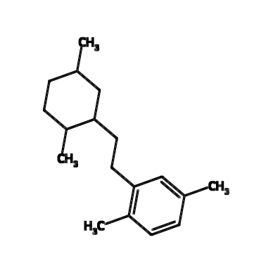 Cc1ccc(C)c(CCC2CC(C)CCC2C)c1